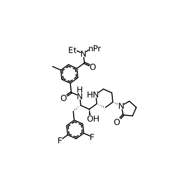 CCCN(CC)C(=O)c1cc(C)cc(C(=O)N[C@@H](Cc2cc(F)cc(F)c2)[C@H](O)[C@H]2C[C@@H](N3CCCC3=O)CCN2)c1